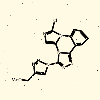 COCc1cn(-c2nnc3c4ccccc4n4c(Cl)ncc4n23)nn1